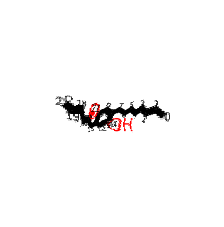 CCCCCCCCc1cc2c(cc1O)CC(CCCC)O2